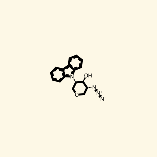 [N-]=[N+]=N[C@@H]1COC[C@H](n2c3ccccc3c3ccccc32)[C@H]1O